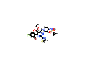 CCOC(=O)C1=C(CN2CCC(NS(=O)(=O)C3CC3)CC2)NC(c2nccs2)=NC1c1ccc(F)cc1Br